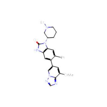 CCN1CCC[C@@H](n2c(=O)[nH]c3cc(-c4cc(OC)c5ncnn5c4)c(C(C)C)cc32)C1